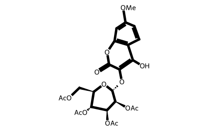 COc1ccc2c(O)c(O[C@H]3O[C@H](COC(C)=O)[C@@H](OC(C)=O)[C@H](OC(C)=O)[C@@H]3OC(C)=O)c(=O)oc2c1